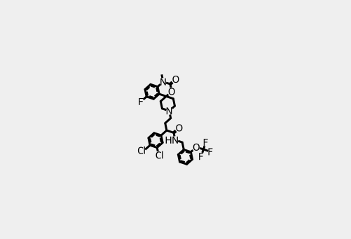 CN1C(=O)OC2(CCN(CCC(C(=O)NCc3ccccc3OC(F)(F)F)c3ccc(Cl)c(Cl)c3)CC2)c2cc(F)ccc21